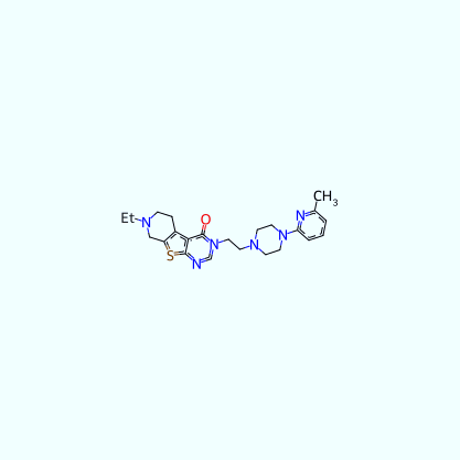 CCN1CCc2c(sc3ncn(CCN4CCN(c5cccc(C)n5)CC4)c(=O)c23)C1